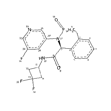 Cc1ccccc1[C@@H](C(=O)NC1CC(F)(F)C1)N(P=O)c1cncc(F)c1